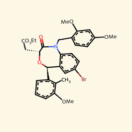 CCOC(=O)C[C@H]1O[C@H](c2cccc(OC)c2C)c2cc(Br)ccc2N(Cc2ccc(OC)cc2OC)C1=O